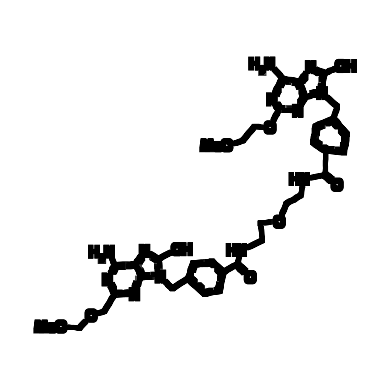 COCCOc1nc(N)c2nc(O)n(Cc3ccc(C(=O)NCCOCCNC(=O)c4ccc(Cn5c(O)nc6c(N)nc(COCOC)nc65)cc4)cc3)c2n1